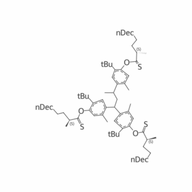 CCCCCCCCCCCC[C@H](C)C(=S)Oc1cc(C)c(C(C)CC(c2cc(C(C)(C)C)c(OC(=S)[C@@H](C)CCCCCCCCCCCC)cc2C)c2cc(C(C)(C)C)c(OC(=S)[C@@H](C)CCCCCCCCCCCC)cc2C)cc1C(C)(C)C